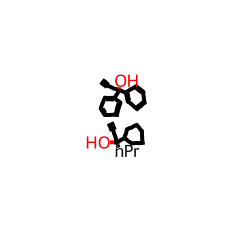 C#CC(O)(CCC)C1CCCCC1.C#CC(O)(c1ccccc1)c1ccccc1